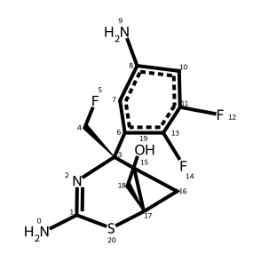 NC1=N[C@](CF)(c2cc(N)cc(F)c2F)C2C[C@]2(CO)S1